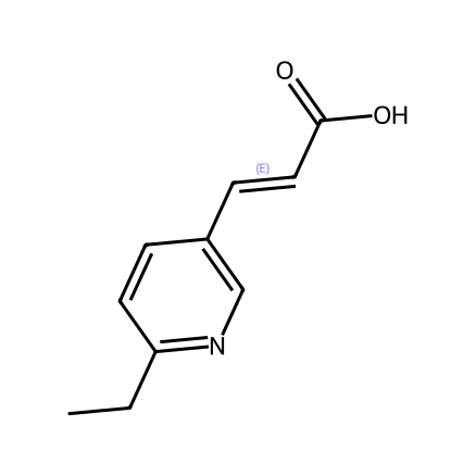 CCc1ccc(/C=C/C(=O)O)cn1